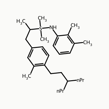 CCCC(CCC)CCc1ccc(CC(C)S(C)(C)Nc2cccc(C)c2C)cc1C